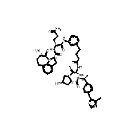 Cc1ncsc1-c1ccc([C@H](C)NC(=O)[C@@H]2C[C@@H](O)CN2C(=O)[C@@H](NC(=O)CCCc2cccc(NC(=O)[C@H](CCC(N)=O)NC(=O)[C@@H]3Cc4cccc5c4N3C(=O)[C@@H](N)CC5)c2)C(C)(C)C)cc1